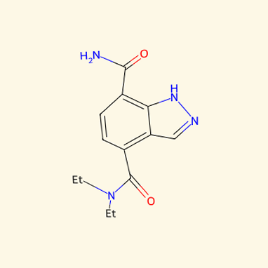 CCN(CC)C(=O)c1ccc(C(N)=O)c2[nH]ncc12